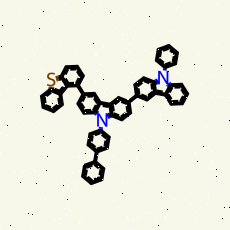 c1ccc(-c2ccc(-n3c4ccc(-c5ccc6c(c5)c5ccccc5n6-c5ccccc5)cc4c4cc(-c5cccc6sc7ccccc7c56)ccc43)cc2)cc1